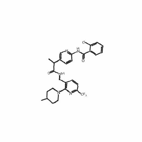 CC1CCN(c2nc(C(F)(F)F)ccc2CNC(=O)C(C)c2ccc(NC(=O)c3ccccc3Cl)nc2)CC1